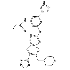 COC(=O)Nc1cc(Nc2ncc3cc(-c4nccs4)c(OC4CCNCC4)cc3n2)cc(-c2cn[nH]c2)c1